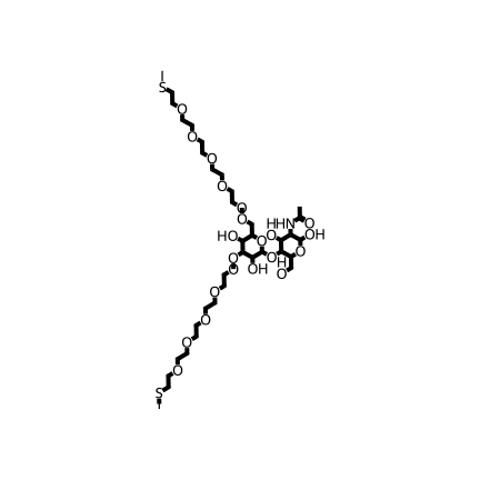 CC(=O)NC1C(O)OC(CO)C(OC2OC(COOCCOCCOCCOCCOCCSI)C(O)C(OOCCOCCOCCOCCOCCSI)C2O)C1O